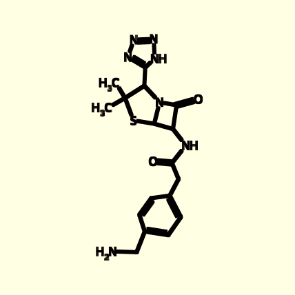 CC1(C)SC2C(NC(=O)Cc3ccc(CN)cc3)C(=O)N2C1c1nnn[nH]1